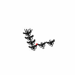 CCCOP(=S)([S-])OCCC.CCCOP(=S)([S-])OCCC.CCCOP(=S)([S-])OCCC.CCCOP(=S)([S-])OCCC.CCCOP(=S)([S-])OCCC.CCCOP(=S)([S-])OCCC.[W+6]